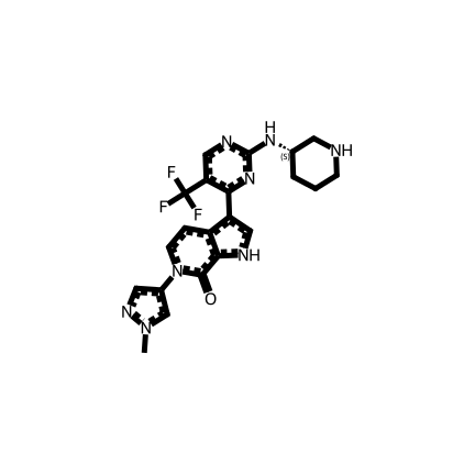 Cn1cc(-n2ccc3c(-c4nc(N[C@H]5CCCNC5)ncc4C(F)(F)F)c[nH]c3c2=O)cn1